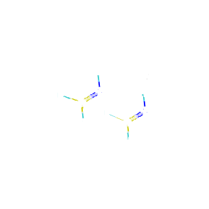 FN=S(F)F.FN=S(F)F.[Zn]